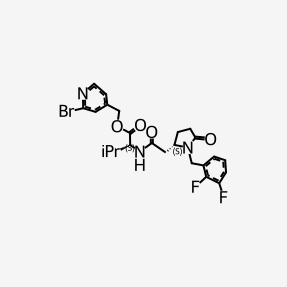 CC(C)[C@H](NC(=O)C[C@@H]1CCC(=O)N1Cc1cccc(F)c1F)C(=O)OCc1ccnc(Br)c1